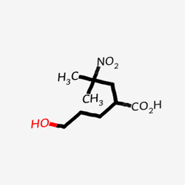 CC(C)(CC(CCCO)C(=O)O)[N+](=O)[O-]